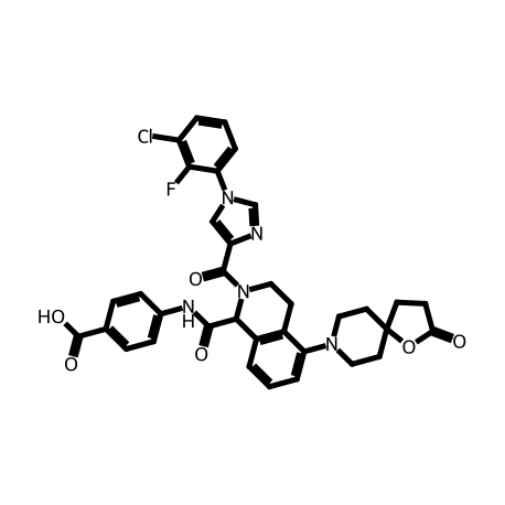 O=C1CCC2(CCN(c3cccc4c3CCN(C(=O)c3cn(-c5cccc(Cl)c5F)cn3)C4C(=O)Nc3ccc(C(=O)O)cc3)CC2)O1